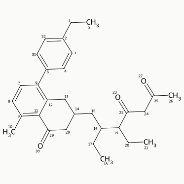 CCc1ccc(-c2ccc(C)c3c2CC(CC(CC)C(CC)C(=O)CC(C)=O)CC3=O)cc1